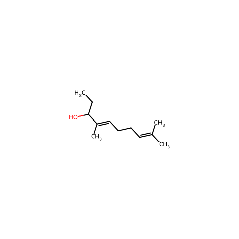 CCC(O)C(C)=CCCC=C(C)C